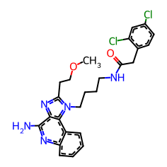 COCCc1nc2c(N)nc3ccccc3c2n1CCCCNC(=O)Cc1ccc(Cl)cc1Cl